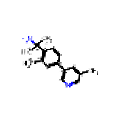 Cc1cncc(-c2ccc(C(C)(C)N)c(C)c2)c1